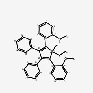 CC[Si]1(C)C(c2ccccc2OC)=C(c2ccccc2)C(c2ccccc2)=C1c1ccccc1OC